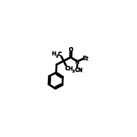 CCN(C#N)C(=O)C(C)(C)Cc1ccccc1